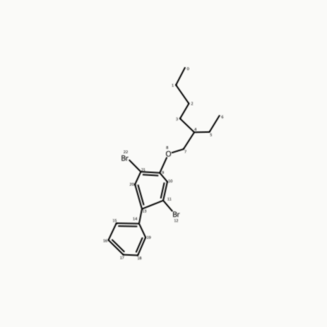 CCCCC(CC)COc1cc(Br)c(-c2ccccc2)cc1Br